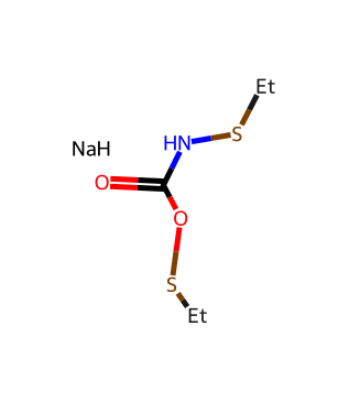 CCSNC(=O)OSCC.[NaH]